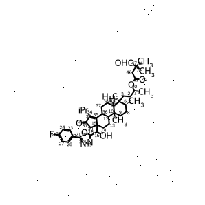 CC(CCC1(C)[C@H](C)CCC2(C)C3CCC4(C(O)c5nnc(-c6ccc(F)cc6)o5)CC(=O)C(C(C)C)=C4C3CC[C@@H]21)OC(=O)CC(C)(C)C=O